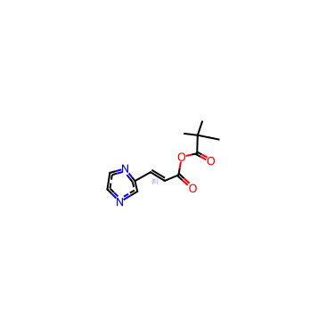 CC(C)(C)C(=O)OC(=O)/C=C/c1cnccn1